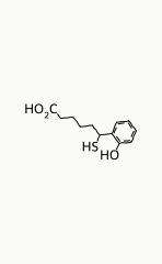 O=C(O)CCCCC(S)c1ccccc1O